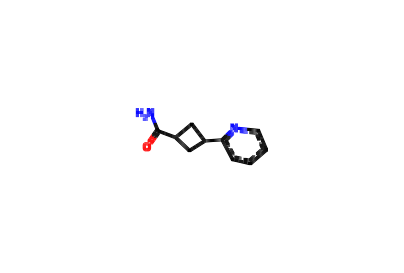 NC(=O)C1CC(c2ccccn2)C1